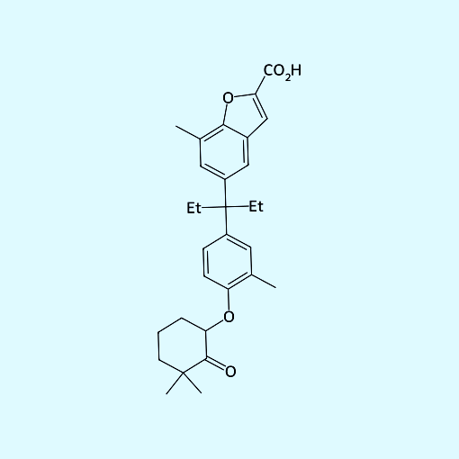 CCC(CC)(c1ccc(OC2CCCC(C)(C)C2=O)c(C)c1)c1cc(C)c2oc(C(=O)O)cc2c1